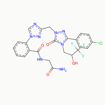 NC(=O)CNC(=O)c1ccccc1-n1cnc(Cn2nc(-c3ccc(Cl)cc3)n(CC(O)C(F)(F)F)c2=O)n1